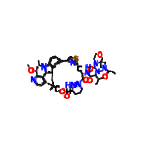 C=CC(=O)N1CC2(COCCN2C(=O)N(C)C(C(=O)N[C@H]2Cc3nc(cs3)-c3ccc4c(c3)c(c(-c3cccnc3[C@H](C)OC)n4CC)CC(C)(C)COC(=O)[C@@H]3CCCN(N3)C2=O)C(C)C)C1